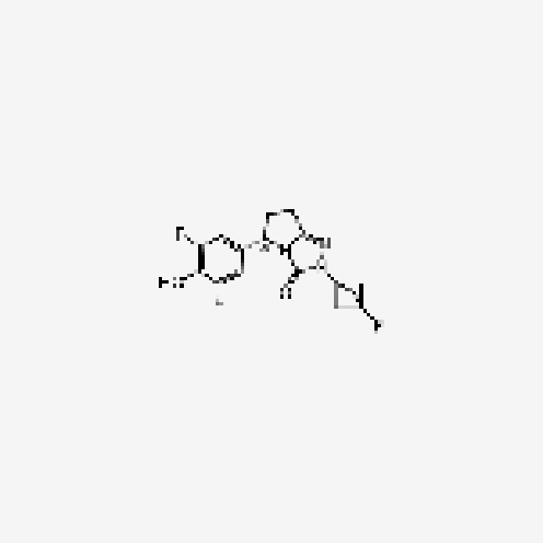 O=c1n(C23CC(F)(C2)C3)nc2n1[C@H](c1cc(F)c(O)c(F)c1)CC2